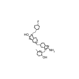 Cc1ccc(O)c(Cn2c(N)nc3ccc(C[n+]4ccc5c(c4)nc(O)n5CCc4ccc(F)cc4)cc32)n1